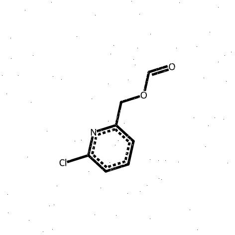 O=COCc1cccc(Cl)n1